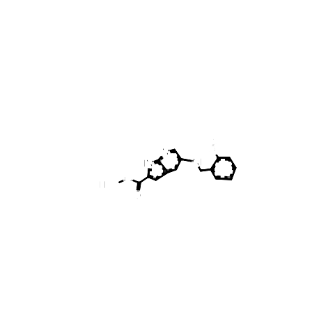 COC(=O)c1cc2cc(NCc3ccccc3OC)cnc2[nH]1